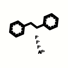 [Al+3].[F-].[F-].[F-].c1ccc(CCc2ccccc2)cc1